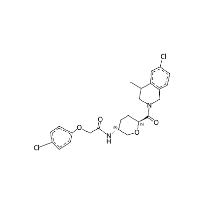 CC1CN(C(=O)[C@@H]2CC[C@@H](NC(=O)COc3ccc(Cl)cc3)CO2)Cc2ccc(Cl)cc21